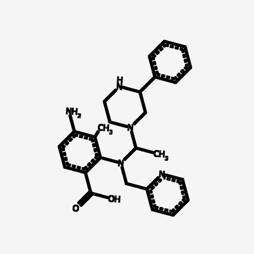 Cc1c(N)ccc(C(=O)O)c1N(Cc1ccccn1)C(C)N1CCNC(c2ccccc2)C1